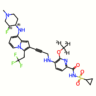 [2H]C([2H])([2H])Oc1nc(C(=O)NS(=O)(=O)C2CC2)ccc1NCC#Cc1cc2c(N[C@@H]3CCN(C)C[C@@H]3F)cccn2c1CC(F)(F)F